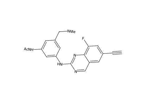 C#Cc1cc(F)c2nc(Nc3cc(CNC)cc(NC(C)=O)c3)ncc2c1